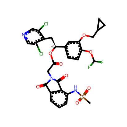 CS(=O)(=O)Nc1cccc2c1C(=O)N(CC(=O)O[C@@H](Cc1c(Cl)cncc1Cl)c1ccc(OC(F)F)c(OCC3CC3)c1)C2=O